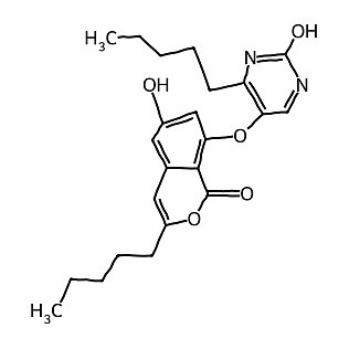 CCCCCc1cc2cc(O)cc(Oc3cnc(O)nc3CCCCC)c2c(=O)o1